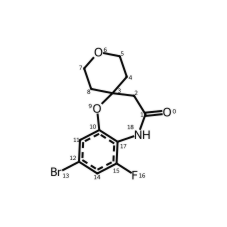 O=C1CC2(CCOCC2)Oc2cc(Br)cc(F)c2N1